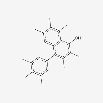 Cc1cc(-c2c(C)c(C)c(O)c3c(C)c(C)c(C)cc23)cc(C)c1C